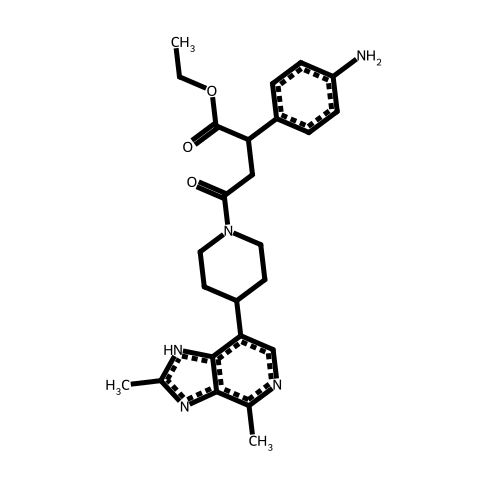 CCOC(=O)C(CC(=O)N1CCC(c2cnc(C)c3nc(C)[nH]c23)CC1)c1ccc(N)cc1